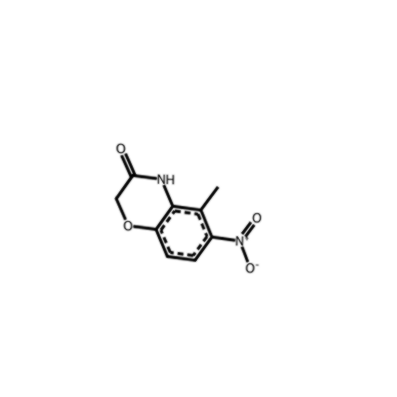 Cc1c([N+](=O)[O-])ccc2c1NC(=O)CO2